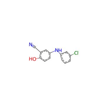 N#Cc1cc(Nc2cccc(Cl)c2)ccc1O